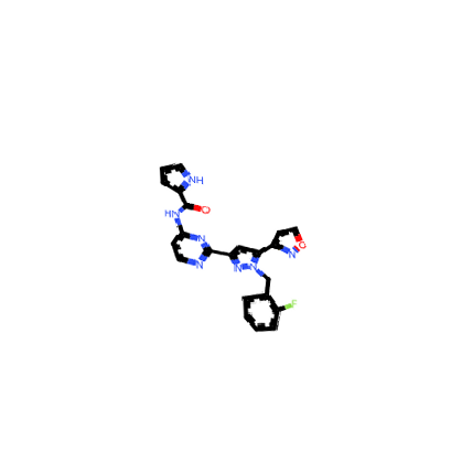 O=C(Nc1ccnc(-c2cc(-c3ccon3)n(Cc3ccccc3F)n2)n1)c1ccc[nH]1